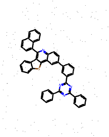 c1ccc(-c2nc(-c3ccccc3)nc(-c3cccc(-c4ccc5nc(-c6cccc7ccccc67)c6c7ccccc7sc6c5c4)c3)n2)cc1